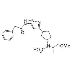 COC[C@H](C)N(C(=O)O)C1CCC(c2cc(NC(=O)Cc3ccccc3)[nH]n2)C1